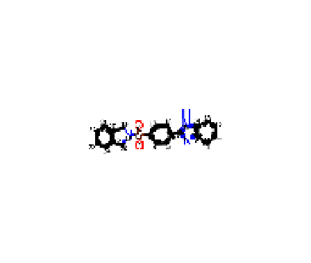 O=S(=O)(c1ccc(-c2nc3ccccc3[nH]2)cc1)N1Cc2ccccc2C1